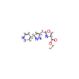 CCOC(=O)c1coc(Cc2nnc(-c3ccncc3)s2)n1